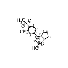 CS(=O)(=O)c1ccc([C@H](CC(=O)O)C2CCCC2)cc1Cl